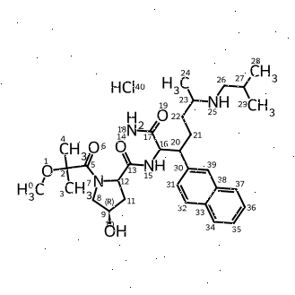 COC(C)(C)C(=O)N1C[C@H](O)CC1C(=O)NC(C(N)=O)C(CCC(C)NCC(C)C)c1ccc2ccccc2c1.Cl